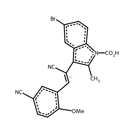 COc1ccc(C#N)cc1/C=C(\C#N)c1c(C)n(C(=O)O)c2ccc(Br)cc12